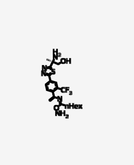 C=C(/N=C(/CCCCCC)ON)c1ccc(-c2nnc([C@@](C)(N)CO)s2)cc1C(F)(F)F